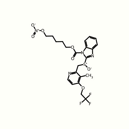 Cc1c(OCC(F)(F)F)ccnc1C[S+]([O-])c1nc2ccccc2n1C(=O)OCCCCCO[N+](=O)[O-]